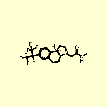 CNC(=O)CN1CC[C@H]2c3ccc(C(F)(C(F)(F)F)C(F)(F)F)cc3CCC21